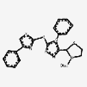 O=CN1CCSC1c1nnc(Sc2nc(-c3ccccc3)cs2)n1-c1ccccc1